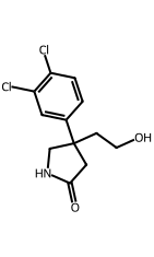 O=C1CC(CCO)(c2ccc(Cl)c(Cl)c2)CN1